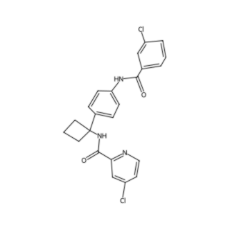 O=C(Nc1ccc(C2(NC(=O)c3cc(Cl)ccn3)CCC2)cc1)c1cccc(Cl)c1